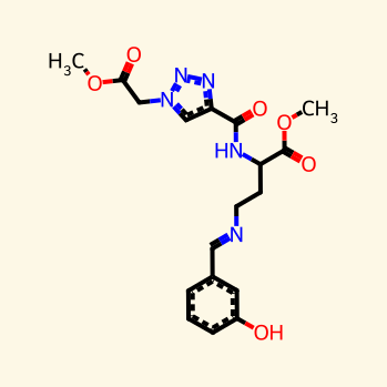 COC(=O)Cn1cc(C(=O)NC(CCN=Cc2cccc(O)c2)C(=O)OC)nn1